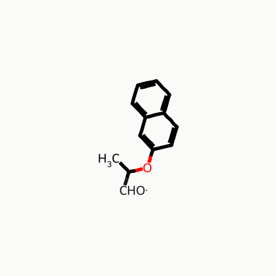 CC([C]=O)Oc1ccc2ccccc2c1